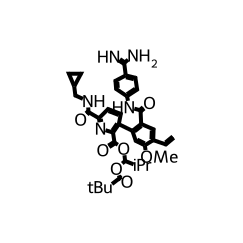 C=Cc1cc(C(=O)Nc2ccc(C(=N)N)cc2)c(-c2ccc(C(=O)NCC3CC3)nc2C(=O)OC(OC(=O)C(C)(C)C)C(C)C)cc1OC